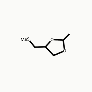 CSCC1CO[C](C)O1